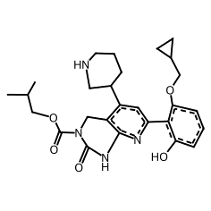 CC(C)COC(=O)N1Cc2c(C3CCCNC3)cc(-c3c(O)cccc3OCC3CC3)nc2NC1=O